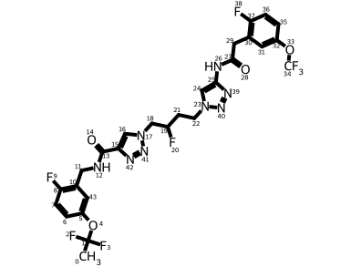 CC(F)(F)Oc1ccc(F)c(CNC(=O)c2cn(CC(F)CCn3cc(NC(=O)Cc4cc(OC(F)(F)F)ccc4F)nn3)nn2)c1